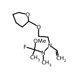 C=CN(CCOC1CCCCO1)N(C)C(C)(F)OC